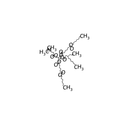 CCCCCCCOC(=O)CCCCC(=O)OCC(COC(=O)CCCCC(=O)OCCCCCCC)(COC(=O)CCCN(C)C)COC(=O)CC(CCC)CCCCCCC